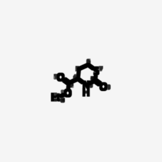 CCOC(=O)C1CCSC(=O)N1